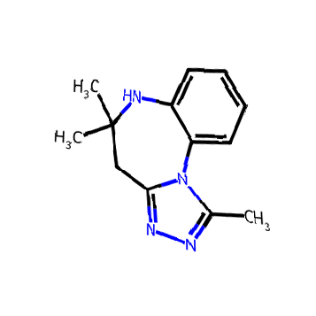 Cc1nnc2n1-c1ccccc1NC(C)(C)C2